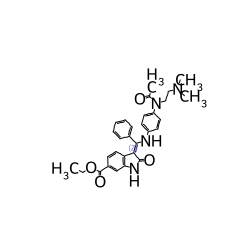 CCOC(=O)c1ccc2c(c1)NC(=O)/C2=C(\Nc1ccc(N(CCN(C)C)C(C)=O)cc1)c1ccccc1